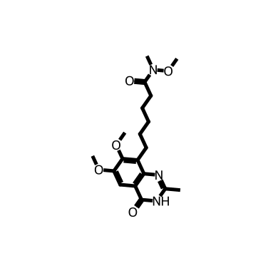 COc1cc2c(=O)[nH]c(C)nc2c(CCCCCC(=O)N(C)OC)c1OC